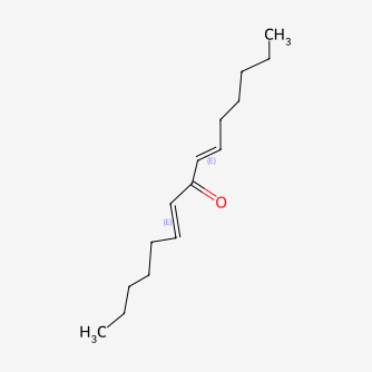 CCCCC/C=C/C(=O)/C=C/CCCCC